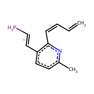 C=C/C=C\c1nc(C)ccc1/C=C/P